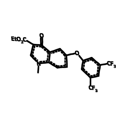 CCOC(=O)c1cn(C)c2ccc(Oc3cc(C(F)(F)F)cc(C(F)(F)F)c3)cc2c1=O